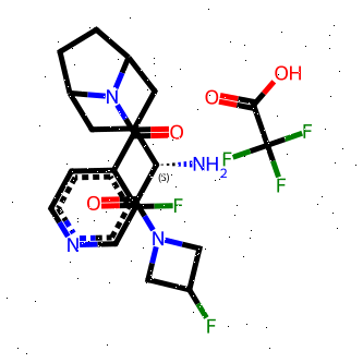 N[C@H](C(=O)N1CC(F)C1)C1CC2CCC(C1)N2C(=O)c1ccncc1F.O=C(O)C(F)(F)F